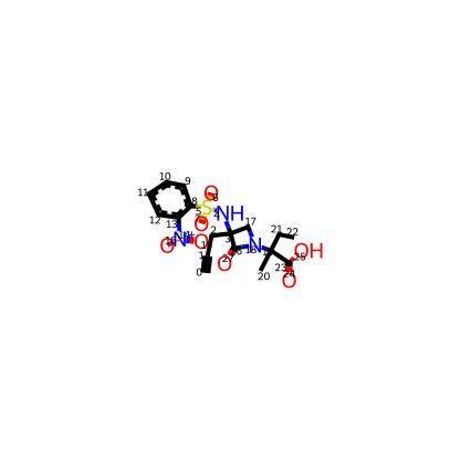 C#CCC1(NS(=O)(=O)c2ccccc2[N+](=O)[O-])CN(C(C)(CC)C(=O)O)C1=O